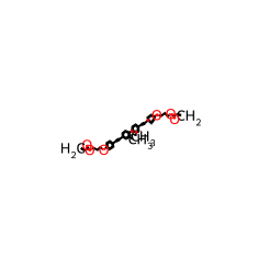 C=CC(=O)OCCCOc1ccc(C#Cc2ccc(-c3ccc(C#Cc4ccc(OCCCOC(=O)C=C)cc4)cc3C)c(C)c2)cc1